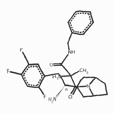 CC(C)(C(=O)NCc1ccccc1)C(=O)N1C2CCC1CC([C@H](N)Cc1cc(F)c(F)cc1F)C2